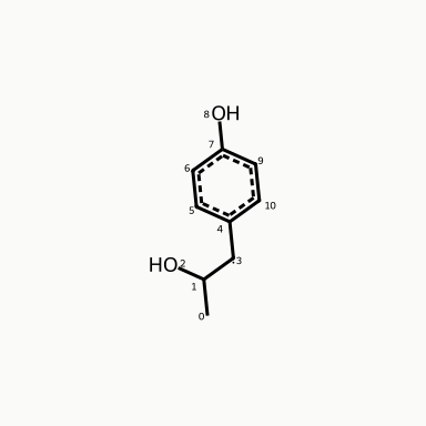 CC(O)[CH]c1ccc(O)cc1